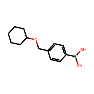 OB(O)c1ccc(COC2CCCCC2)cc1